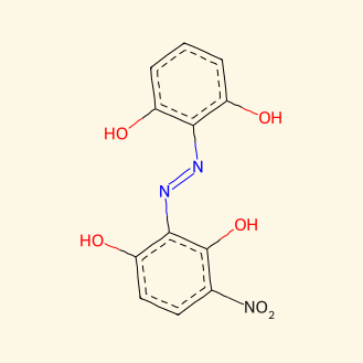 O=[N+]([O-])c1ccc(O)c(N=Nc2c(O)cccc2O)c1O